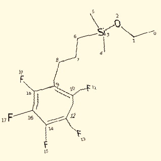 CCO[Si](C)(C)CCCc1c(F)c(F)c(F)c(F)c1F